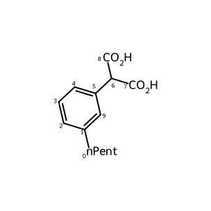 CCCCCc1cccc(C(C(=O)O)C(=O)O)c1